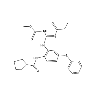 CCC(=O)N=C(NC(=O)OC)Nc1cc(Sc2ccccc2)ccc1NC(=O)C1CCCC1